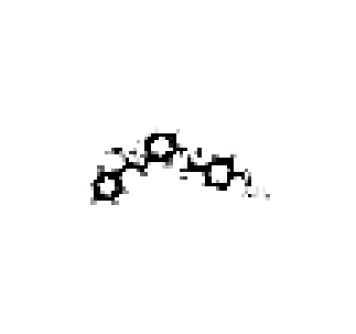 COc1ccc(C(=O)Nc2cccc(CC(NO)c3ccccc3)c2)cc1